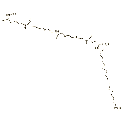 CC(=O)[C@H](CCCCNC(=O)COCCOCCNC(=O)COCCOCCNC(=O)CC[C@H](NC(=O)CCCCCCCCCCCCCCCCC(=O)O)C(=O)O)NC(C)C